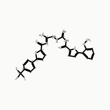 COc1ccccc1-c1ccc(C(=O)NC(=N)NNC(N)=NC(=O)c2ccc(-c3ccc(C(F)(F)F)cc3)o2)o1